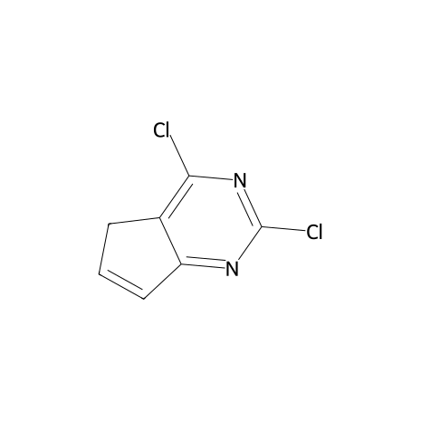 Clc1nc(Cl)c2c(n1)C=CC2